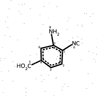 [C-]#[N+]c1ccc(C(=O)O)cc1N